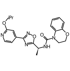 CC(C)Oc1cc(-c2noc([C@H](C)NC(=O)N3CCOc4ccccc43)n2)ccn1